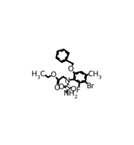 CCOC(=O)CN(c1c(OCc2ccccc2)cc(C)c(Br)c1F)S(N)(=O)=O